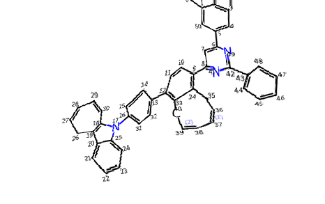 Cc1cccc(-c2cc(-c3ccc(-c4ccc(-n5c6c(c7ccccc75)CC=CC=C6)cc4)c4c3C/C=C\C=C/C4)nc(-c3ccccc3)n2)c1